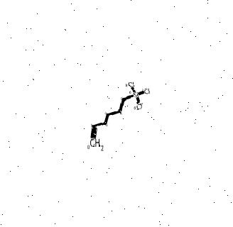 C=CCCCC[Si](Cl)(Cl)Cl